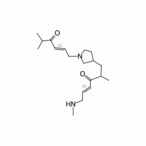 CNC/C=C/C(=O)C(C)CC1CCN(C/C=C/C(=O)C(C)C)C1